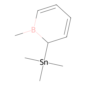 CB1C=CC=C[CH]1[Sn]([CH3])([CH3])[CH3]